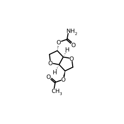 CC(=O)O[C@@H]1CO[C@H]2[C@@H]1OC[C@@H]2OC(N)=O